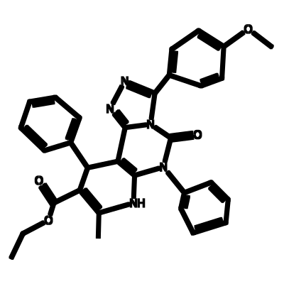 CCOC(=O)C1=C(C)Nc2c(c3nnc(-c4ccc(OC)cc4)n3c(=O)n2-c2ccccc2)C1c1ccccc1